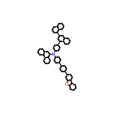 c1ccc2c(-c3cc(-c4ccc(N(c5ccc(-c6ccc(-c7ccc8c(c7)oc7ccccc78)cc6)cc5)c5cc6ccccc6c6ccccc56)cc4)c4ccccc4c3)cccc2c1